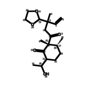 C=CC(C)(CC(=O)[C@@]1(C)C(=O)C(C(C)O)CC[C@H]1C)C1OCCO1